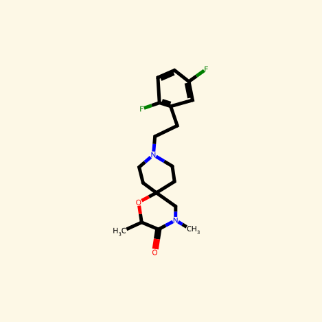 CC1OC2(CCN(CCc3cc(F)ccc3F)CC2)CN(C)C1=O